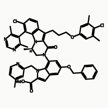 COC(=O)c1cc2cc(OCc3ccccc3)cc(N3C[C@@H](C)n4c(c(CCCOc5cc(C)c(Cl)c(C)c5)c5ccc(Cl)c(-c6c(C)ncnc6C)c54)C3=O)c2n1Cc1cc(C)ccn1